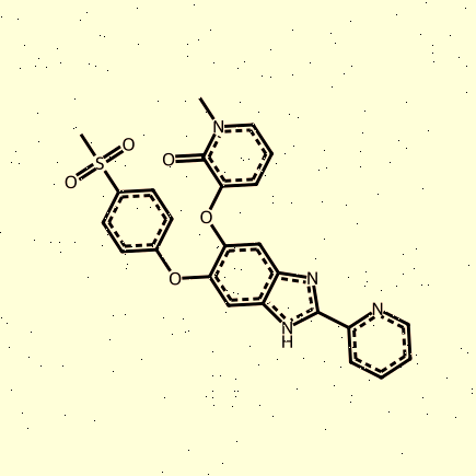 Cn1cccc(Oc2cc3nc(-c4ccccn4)[nH]c3cc2Oc2ccc(S(C)(=O)=O)cc2)c1=O